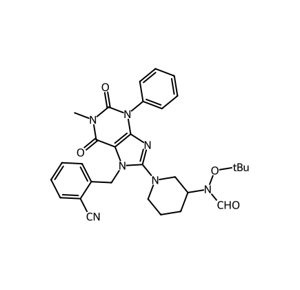 Cn1c(=O)c2c(nc(N3CCCC(N(C=O)OC(C)(C)C)C3)n2Cc2ccccc2C#N)n(-c2ccccc2)c1=O